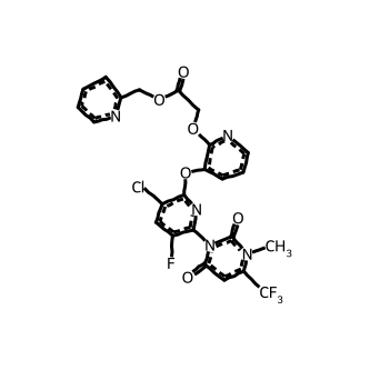 Cn1c(C(F)(F)F)cc(=O)n(-c2nc(Oc3cccnc3OCC(=O)OCc3ccccn3)c(Cl)cc2F)c1=O